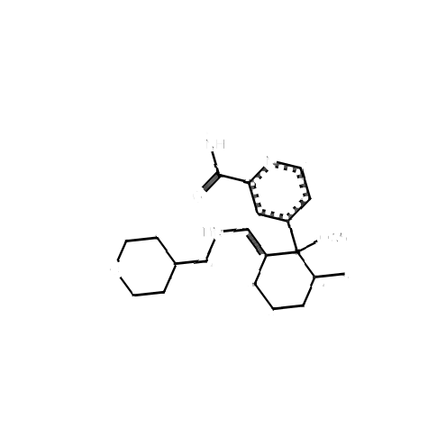 COC1(c2ccnc(C(N)=O)c2)/C(=C/NCC2CCOCC2)CCCC1C